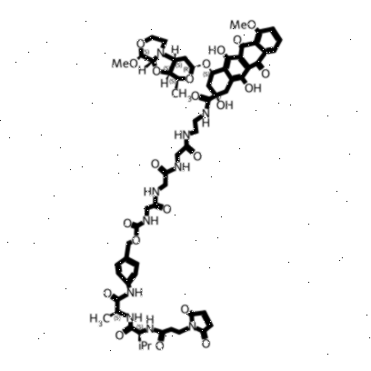 COc1cccc2c1C(=O)c1c(O)c3c(c(O)c1C2=O)C[C@@](O)(C(=O)NCCNC(=O)CNC(=O)CNC(=O)CNC(=O)OCc1ccc(NC(=O)[C@H](C)NC(=O)[C@@H](NC(=O)CCN2C(=O)C=CC2=O)C(C)C)cc1)C[C@@H]3O[C@H]1C[C@H]2[C@H](O[C@@H]3[C@@H](OC)OCCN32)[C@H](C)O1